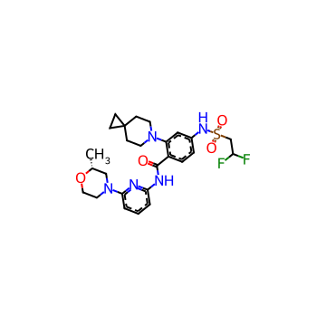 C[C@@H]1CN(c2cccc(NC(=O)c3ccc(NS(=O)(=O)CC(F)F)cc3N3CCC4(CC3)CC4)n2)CCO1